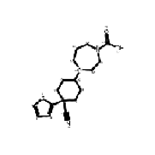 N#CC1(c2cccs2)CCC(N2CCCN(C(=O)O)CC2)CC1